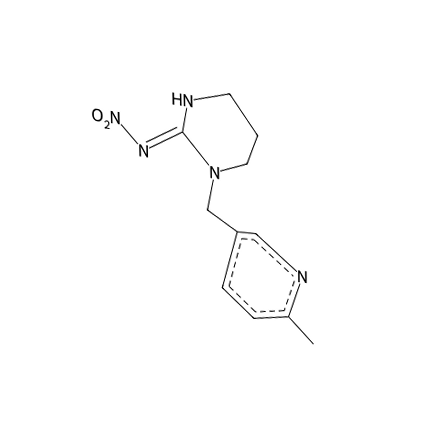 Cc1ccc(CN2CCCNC2=N[N+](=O)[O-])cn1